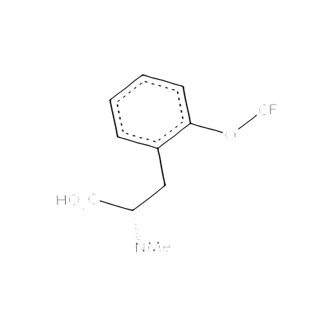 CN[C@@H](Cc1ccccc1OC(F)(F)F)C(=O)O